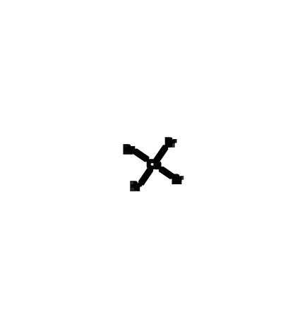 [Br][Co]([Br])([Br])[Br]